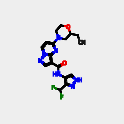 N#CCC1CN(c2ccn3ncc(C(=O)Nc4c[nH]nc4C(F)F)c3n2)CCO1